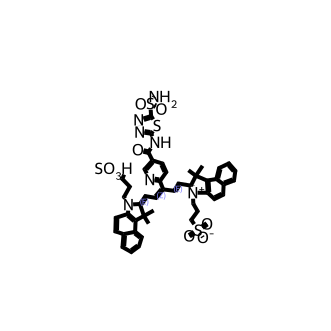 CC1(C)C(/C=C/C(=C/C=C2/N(CCCS(=O)(=O)O)c3ccc4ccccc4c3C2(C)C)c2ccc(C(=O)Nc3nnc(S(N)(=O)=O)s3)cn2)=[N+](CCCS(=O)(=O)[O-])c2ccc3ccccc3c21